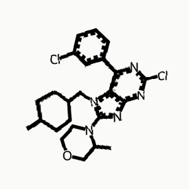 CC1CCC(Cn2c(N3CCOCC3C)nc3nc(Cl)nc(-c4cccc(Cl)c4)c32)CC1